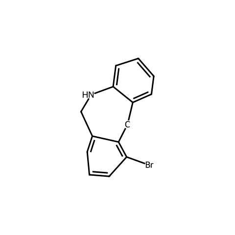 Brc1cccc2c1Cc1ccccc1NC2